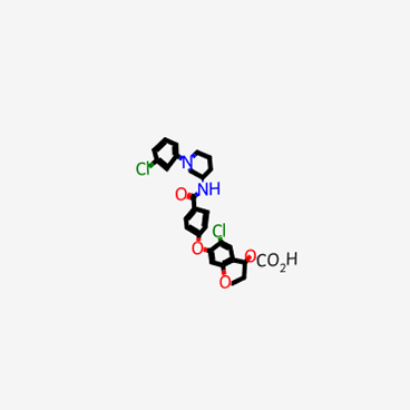 O=C(O)OC1CCOc2cc(Oc3ccc(C(=O)N[C@H]4CCCN(c5cccc(Cl)c5)C4)cc3)c(Cl)cc21